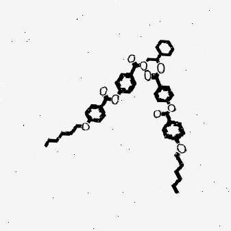 CCCCCCOc1ccc(C(=O)Oc2ccc(C(=O)OCC(OC(=O)c3ccc(OC(=O)c4ccc(OCCCCCC)cc4)cc3)C3CCCCC3)cc2)cc1